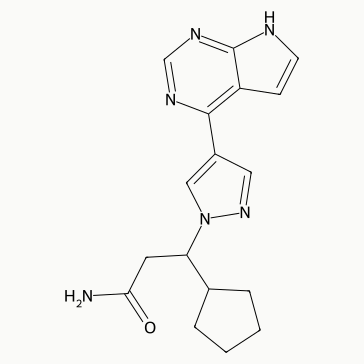 NC(=O)CC(C1CCCC1)n1cc(-c2ncnc3[nH]ccc23)cn1